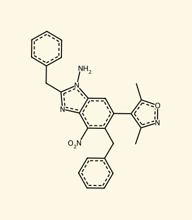 Cc1noc(C)c1-c1cc2c(nc(Cc3ccccc3)n2N)c([N+](=O)[O-])c1Cc1ccccc1